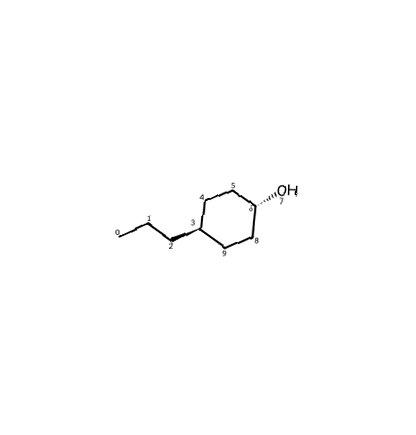 CCC[C@H]1CC[C@H](O)CC1